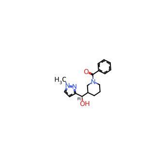 Cn1ccc([C@H](O)C2CCCN(C(=O)c3ccccc3)C2)n1